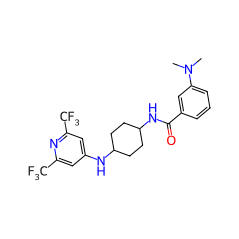 CN(C)c1cccc(C(=O)NC2CCC(Nc3cc(C(F)(F)F)nc(C(F)(F)F)c3)CC2)c1